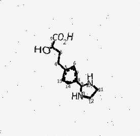 O=C(O)C(O)CCc1ccc(C2NCCN2)cc1